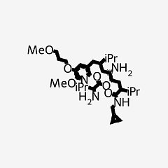 COCCCOc1cc(CC(C[C@H](N)C(CC(C(=O)NCC2CC2)C(C)C)OC(=O)C(N)C(C)C)C(C)C)cnc1OC